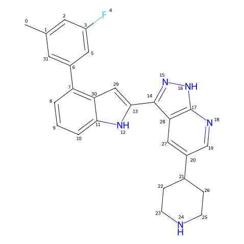 Cc1cc(F)cc(-c2cccc3[nH]c(-c4n[nH]c5ncc(C6CCNCC6)cc45)cc23)c1